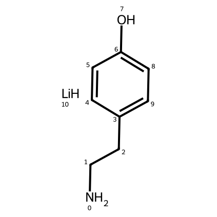 NCCc1ccc(O)cc1.[LiH]